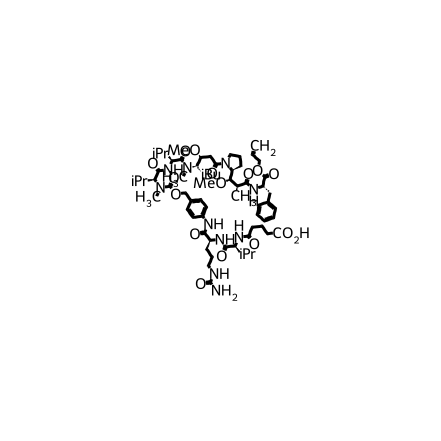 C=CCOC(=O)[C@H](Cc1ccccc1)NC(=O)[C@H](C)[C@@H](OC)[C@@H]1CCCN1C(=O)C[C@@H](OC)[C@H]([C@@H](C)CC)N(C)C(=O)[C@@H](NC(=O)[C@H](C(C)C)N(C)C(=O)OCc1ccc(NC(=O)[C@H](CCCNC(N)=O)NC(=O)[C@@H](NC(=O)CCCC(=O)O)C(C)C)cc1)C(C)C